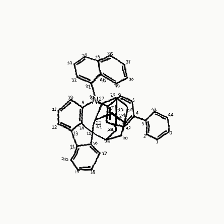 c1ccc(-c2ccc(N(c3cccc4c3C3(c5ccccc5-4)C4CC5CC(C4)CC3C5)c3cccc4ccccc34)cc2)cc1